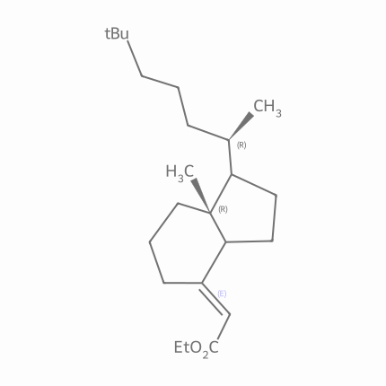 CCOC(=O)/C=C1\CCC[C@@]2(C)C1CCC2[C@H](C)CCCC(C)(C)C